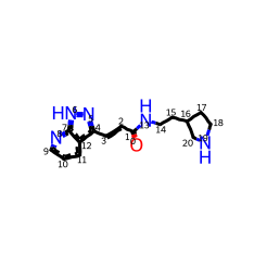 O=C(/C=C/c1n[nH]c2ncccc12)NCCC1CCNC1